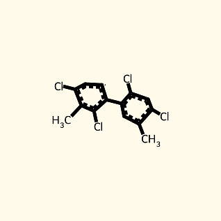 Cc1cc(-c2[c]cc(Cl)c(C)c2Cl)c(Cl)cc1Cl